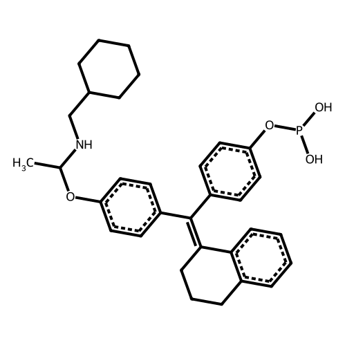 CC(NCC1CCCCC1)Oc1ccc(C(=C2CCCc3ccccc32)c2ccc(OP(O)O)cc2)cc1